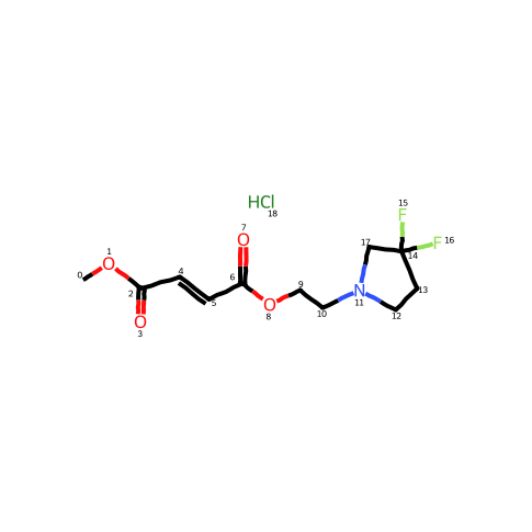 COC(=O)C=CC(=O)OCCN1CCC(F)(F)C1.Cl